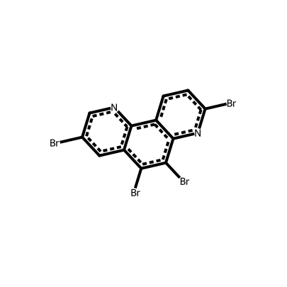 Brc1cnc2c(c1)c(Br)c(Br)c1nc(Br)ccc12